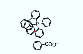 O=C([O-])c1ccccc1.c1ccc([P+](c2ccccc2)(c2ccccc2)c2ccccc2-c2cccc3ccccc23)cc1